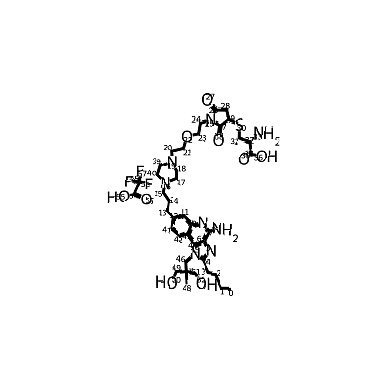 CCCCc1nc2c(N)nc3cc(CCCN4CCN(CCOCCN5C(=O)CC(SC[C@H](N)C(=O)O)C5=O)CC4)ccc3c2n1CC(C)(CO)CO.O=C(O)C(F)(F)F